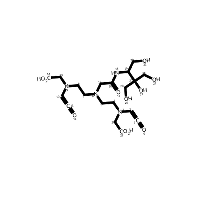 O=C=CN(CCN(CCN(C=C=O)CC(=O)O)CC(=O)NC(CO)C(O)(CO)CO)CC(=O)O